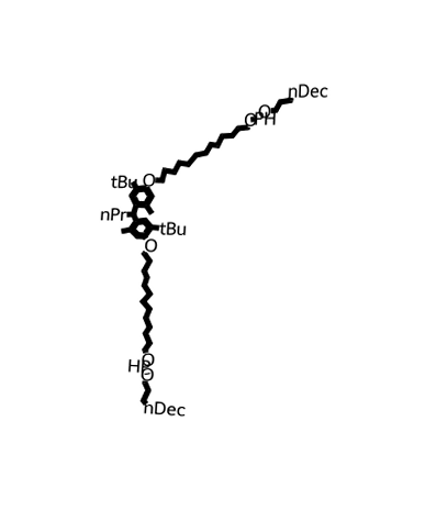 CCCCCCCCCCCCCOPOCCCCCCCCCCCCCOc1cc(C)c(C(CCC)c2cc(C(C)(C)C)c(OCCCCCCCCCCCCCOPOCCCCCCCCCCCCC)cc2C)cc1C(C)(C)C